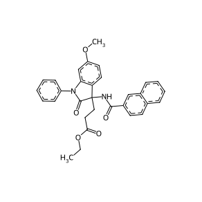 CCOC(=O)CCC1(NC(=O)c2ccc3ccccc3c2)C(=O)N(c2ccccc2)c2cc(OC)ccc21